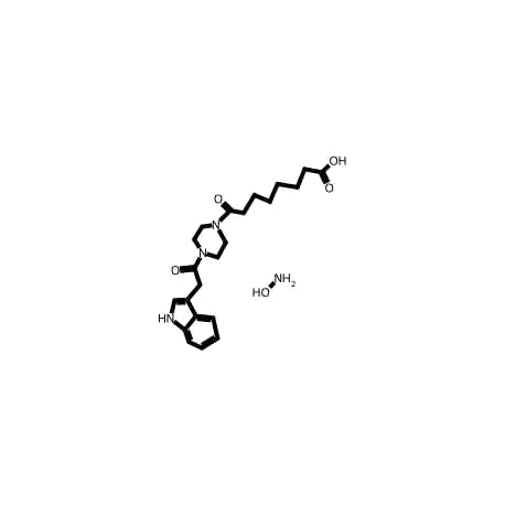 NO.O=C(O)CCCCCCC(=O)N1CCN(C(=O)Cc2c[nH]c3ccccc23)CC1